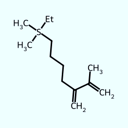 C=C(C)C(=C)CCCCS(C)(C)CC